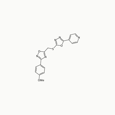 COc1ccc(-c2noc(CSc3nnc(-c4ccncc4)o3)n2)cc1